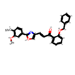 COc1ccc(-c2nc(/C=C/C(=O)c3ccccc3OCc3ccccc3)co2)cc1OC(C)C